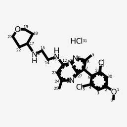 COc1cc(Cl)c(-c2c(C)nn3c(NCCNC4CCOCC4)cc(C)nc23)c(Cl)c1.Cl